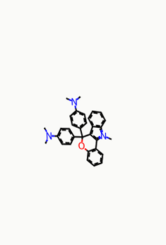 CN(C)c1ccc(C2(c3ccc(N(C)C)cc3)Oc3ccccc3-c3c2c2ccccc2n3C)cc1